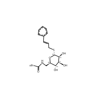 CCCC(=O)NC[C@H]1O[C@H](SCC=Cc2ccccc2)[C@@H](O)[C@@H](O)[C@@H]1O